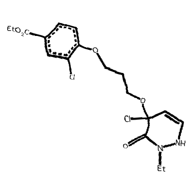 CCOC(=O)c1ccc(OCCCOC2(Cl)C=CNN(CC)C2=O)c(Cl)c1